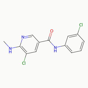 CNc1ncc(C(=O)Nc2cccc(Cl)c2)cc1Cl